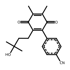 CC1=C(C)C(=O)C(c2ccc(C#N)cc2)=C(CCC(C)(C)O)C1=O